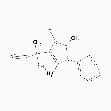 Cc1c(C(C)(C)C#N)c(C)n(-c2ccccc2)c1C